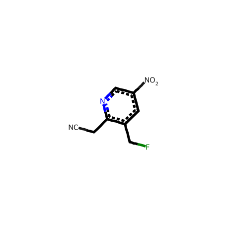 N#CCc1ncc([N+](=O)[O-])cc1CF